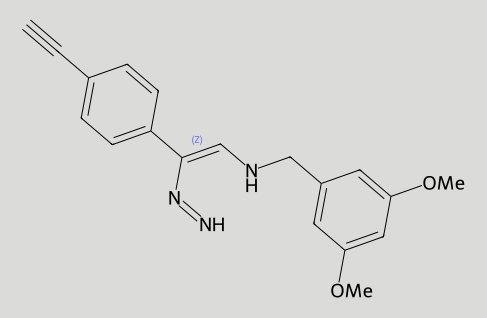 C#Cc1ccc(/C(=C/NCc2cc(OC)cc(OC)c2)N=N)cc1